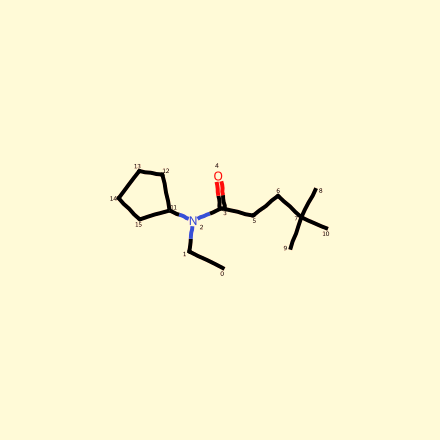 CCN(C(=O)CCC(C)(C)C)C1CCCC1